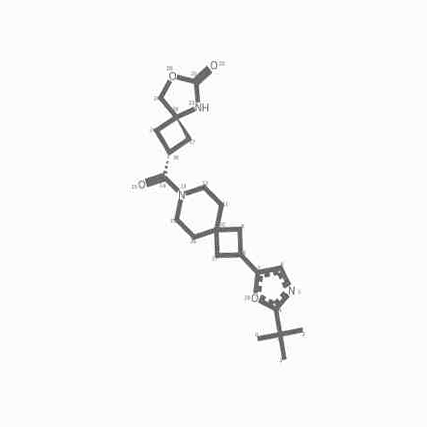 CC(C)(C)c1ncc(C2CC3(CCN(C(=O)[C@H]4C[C@]5(COC(=O)N5)C4)CC3)C2)o1